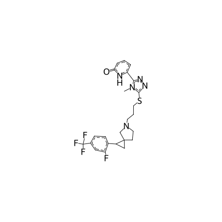 Cn1c(SCCCN2CCC3(CC3c3ccc(C(F)(F)F)cc3F)C2)nnc1-c1cccc(=O)[nH]1